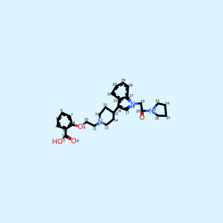 O=C(O)c1ccccc1OCCN1CCC(c2cn(CC(=O)N3CCCC3)c3ccccc23)CC1